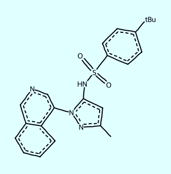 Cc1cc(NS(=O)(=O)c2ccc(C(C)(C)C)cc2)n(-c2cncc3ccccc23)n1